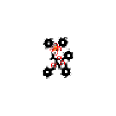 CC(COP(=O)(Oc1ccccc1)Oc1ccccc1)C(OCc1ccccc1)C(OCc1ccccc1)C(C)OCc1ccccc1